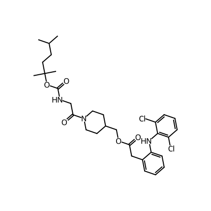 CC(C)CCC(C)(C)OC(=O)NCC(=O)N1CCC(COC(=O)Cc2ccccc2Nc2c(Cl)cccc2Cl)CC1